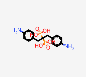 Nc1ccc(CC(Cc2ccc(N)cc2)(P(=O)(O)O)P(=O)(O)O)cc1